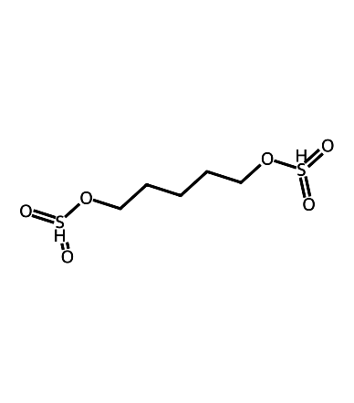 O=[SH](=O)OCCCCCO[SH](=O)=O